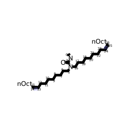 C=NC(=O)N(CCCCCCCC/C=C\CCCCCCCC)CCCCCCCC/C=C\CCCCCCCC